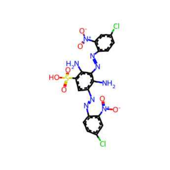 Nc1c(/N=N/c2ccc(Cl)cc2[N+](=O)[O-])cc(S(=O)(=O)O)c(N)c1/N=N/c1ccc(Cl)cc1[N+](=O)[O-]